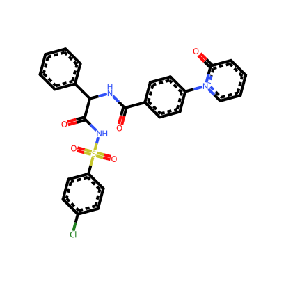 O=C(NC(C(=O)NS(=O)(=O)c1ccc(Cl)cc1)c1ccccc1)c1ccc(-n2ccccc2=O)cc1